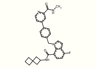 CNC(=O)c1cc(-c2ccc(Cn3ccc4c(F)ccc(C(=O)NC5CC6(CCC6)C5)c43)cc2)ccn1